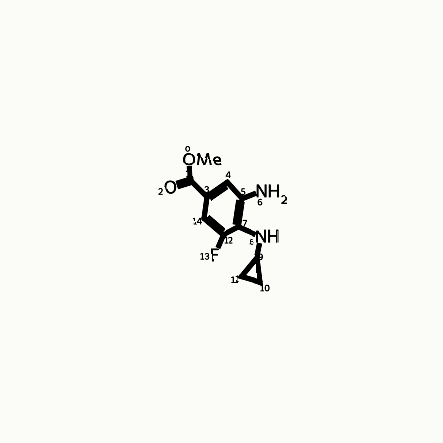 COC(=O)c1cc(N)c(NC2CC2)c(F)c1